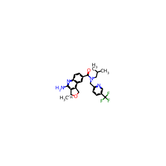 CC(C)CN(Cc1ccc(C(F)(F)F)cn1)C(=O)c1ccc2nc(N)c3c(c2c1)CO[C@@H]3C